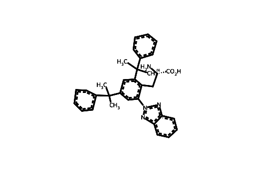 CC(C)(c1ccccc1)c1cc(-n2nc3ccccc3n2)c(C[C@H](N)C(=O)O)c(C(C)(C)c2ccccc2)c1